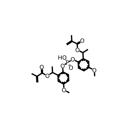 C=C(C)C(=O)OC(C)c1cc(OC)ccc1OP(=O)(O)Oc1ccc(OC)cc1C(C)OC(=O)C(=C)C